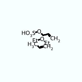 C=CC.C=CCOS(=O)(=O)O.CCOCC